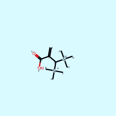 C=C(C(=O)O)C([Si](C)(C)C)[Si](C)(C)C